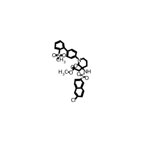 COC(=O)CC1(NS(=O)(=O)c2ccc3cc(Cl)ccc3c2)CCCN(c2ccc(-c3ccccc3S(C)(=O)=O)cc2)C1=O